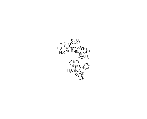 C=C(C)[C@H](NC)C(=O)N[C@H](C(=O)N[C@@H](C(C)CC)[C@@H](CC(=O)N1CCC[C@H]1[C@H](OC)[C@@H](C)C(=O)N[C@@H](Cc1ccccc1)c1nccs1)OC)C(C)C